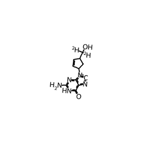 [2H]C([2H])(O)C1C=CC(n2[13cH]nc3c(=O)[nH]c(N)nc32)C1